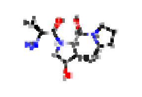 C[C@H](N)C(=O)N1C[C@H](O)C[C@H]1C(=O)N1CCC[C@H]1C(=O)O